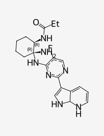 CCC(=O)N[C@@H]1CCCC[C@@]1(N)Nc1nc(C2=CNC3NC=CC=C23)ncc1F